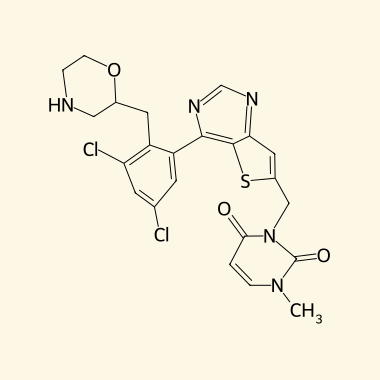 Cn1ccc(=O)n(Cc2cc3ncnc(-c4cc(Cl)cc(Cl)c4CC4CNCCO4)c3s2)c1=O